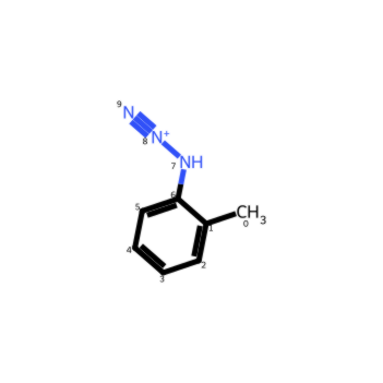 Cc1ccccc1N[N+]#N